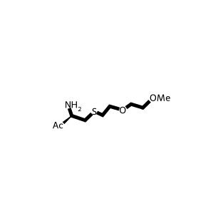 COCCOCCSC[C@H](N)C(C)=O